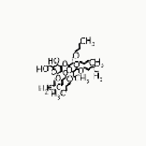 C=CCO[C@H]1OC(CO)[C@@H](O)C(O[C@H](OC(COCCCC)[C@H](C)OCCCC)[C@H](COCCCC)OCCCC)C1OCCCC